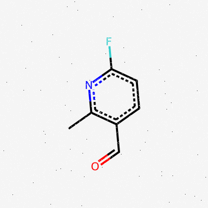 Cc1nc(F)ccc1C=O